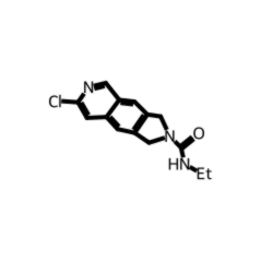 CCNC(=O)N1Cc2cc3cnc(Cl)cc3cc2C1